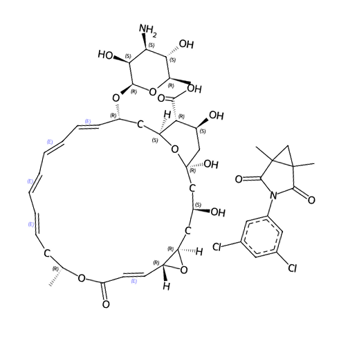 CC12CC1(C)C(=O)N(c1cc(Cl)cc(Cl)c1)C2=O.C[C@@H]1C/C=C/C=C/C=C/C=C/[C@H](O[C@@H]2O[C@H](C)[C@@H](O)[C@H](N)[C@@H]2O)C[C@@H]2O[C@](O)(C[C@@H](O)C[C@H]3O[C@@H]3/C=C/C(=O)O1)C[C@H](O)[C@H]2C(=O)O